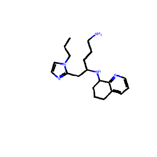 CCCn1ccnc1CC(CCCN)NC1CCCc2cccnc21